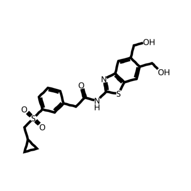 O=C(Cc1cccc(S(=O)(=O)CC2CC2)c1)Nc1nc2cc(CO)c(CO)cc2s1